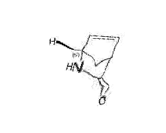 O=C1N[C@@H]2C=CC1C2